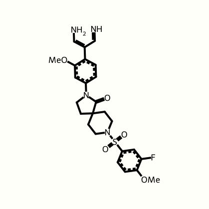 COc1ccc(S(=O)(=O)N2CCC3(CCN(c4ccc(/C(C=N)=C/N)c(OC)c4)C3=O)CC2)cc1F